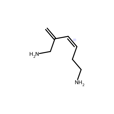 C=C(/C=C\CCN)CN